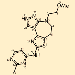 COCCN1CCc2sc(Nc3ccnc(C)n3)nc2-c2c[nH]nc21